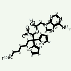 CCCCCCCCCCCCCCCC(c1cccs1)(c1cccs1)C(OC(C)Cn1cnc2c(N)ncnc21)P(=O)=O